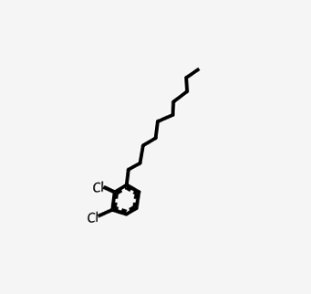 CCCCCCCCCCc1cccc(Cl)c1Cl